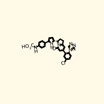 O=C(O)Nc1ccc(-c2ccc([C@@H]3CCc4cc(-c5cc(Cl)ccc5-n5cnnn5)cc(=O)n43)[nH]2)cc1